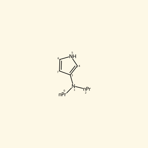 CCCN(CCC)c1[c][nH]cc1